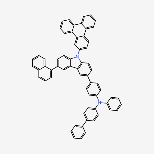 c1ccc(-c2ccc(N(c3ccccc3)c3ccc(-c4ccc5c(c4)c4cc(-c6cccc7ccccc67)ccc4n5-c4ccc5c6ccccc6c6ccccc6c5c4)cc3)cc2)cc1